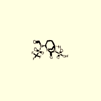 O=CN([C@H]1CC[C@@H]2CN1C(=O)N2S(=O)(=O)O)S(=O)(=O)C(F)(F)F